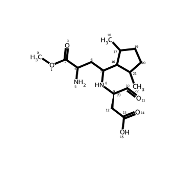 COC(=O)C(N)CC(N[C@@H](C=O)CC(=O)O)C1C(C)CCC1C